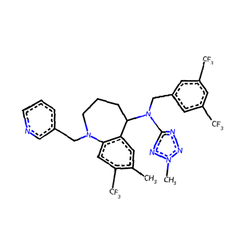 Cc1cc2c(cc1C(F)(F)F)N(Cc1cccnc1)CCCC2N(Cc1cc(C(F)(F)F)cc(C(F)(F)F)c1)c1nnn(C)n1